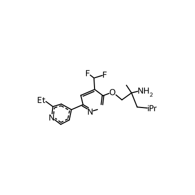 C=C(OCC(C)(N)CC(C)C)/C(=C\C(=N/C)c1ccnc(CC)c1)C(F)F